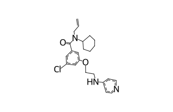 C=CCN(C(=O)c1cc(Cl)cc(OCCNc2ccncc2)c1)C1CCCCC1